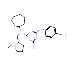 CCN1CCCC1CN(c1nc(N)nc(Nc2ccc(C)cc2)n1)C1CCCCCC1